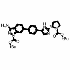 CC(C)(C)OC(=O)N1CCC[C@H]1c1ncc(-c2ccc(-c3ccc4c(N)nn(C(=O)OC(C)(C)C)c4c3)cc2)[nH]1